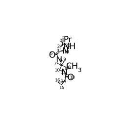 CC(C)c1cc(C(=O)N2CC3(C2)CN(C(=O)C2CC2)C3C)n[nH]1